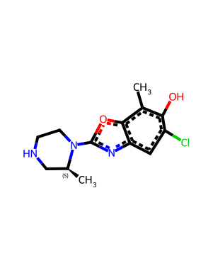 Cc1c(O)c(Cl)cc2nc(N3CCNC[C@@H]3C)oc12